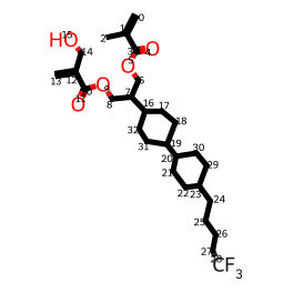 C=C(C)C(=O)OCC(COC(=O)C(=C)CO)C1CCC(C2CCC(CCCCC(F)(F)F)CC2)CC1